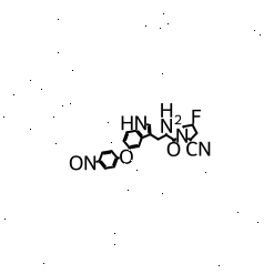 N#C[C@@H]1C[C@H](F)CN1C(=O)[C@@H](N)Cc1c[nH]c2ccc(Oc3ccc(N=O)cc3)cc12